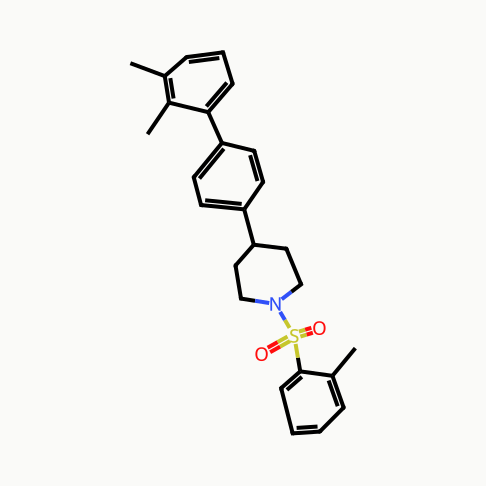 Cc1ccccc1S(=O)(=O)N1CCC(c2ccc(-c3cccc(C)c3C)cc2)CC1